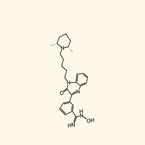 C[C@@H]1CCC[C@H](C)N1CCCCCn1c(=O)c(-c2cccc(C(=N)NO)c2)nc2ccccc21